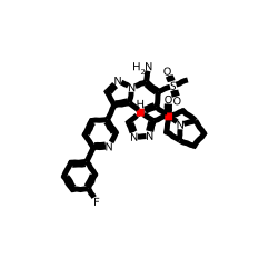 CS(=O)(=O)c1c(C2CC3CCC(C2)N3C(=O)c2nnc[nH]2)nc2c(-c3ccc(-c4cccc(F)c4)nc3)cnn2c1N